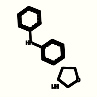 C1CCOC1.[LiH].c1ccc(Pc2ccccc2)cc1